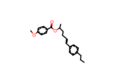 CCCc1ccc(C=CCCC(C)OC(=O)c2ccc(OC)cc2)cc1